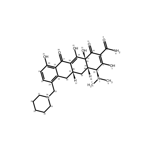 CN(C)[C@@H]1C(O)=C(C(N)=O)C(=O)[C@@]2(O)C(O)=C3C(=O)c4c(O)ccc(CN5CCCCC5)c4C[C@H]3C[C@@H]12